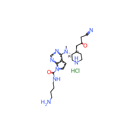 CN(c1ncnc2c1ccn2C(=O)NCCCCN)[C@H]1CNCC[C@@H]1CC(=O)CC#N.Cl